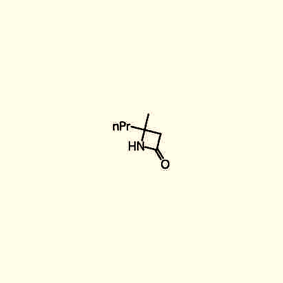 CCCC1(C)CC(=O)N1